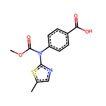 COC(=O)N(c1ccc(C(=O)O)cc1)c1ncc(C)s1